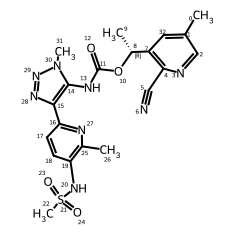 Cc1cnc(C#N)c([C@@H](C)OC(=O)Nc2c(-c3ccc(NS(C)(=O)=O)c(C)n3)nnn2C)c1